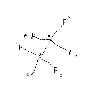 CC(F)(F)C(F)(F)I